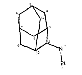 CC[N]C1C2CC3CC(C2)CC1C3